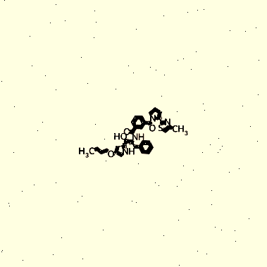 CCCCO[C@H]1CN[C@@H]([C@@H](O)[C@H](Cc2ccccc2)NC(=O)c2cccc(C(=O)N3CCC[C@@H]3c3nc(C)cs3)c2)C1